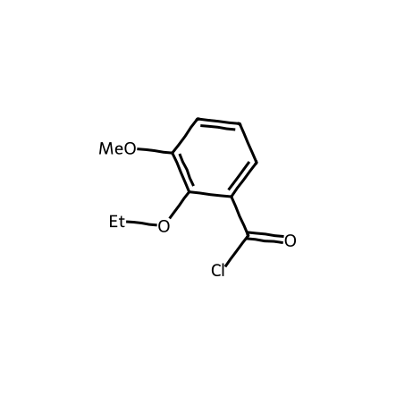 CCOc1c(OC)cccc1C(=O)Cl